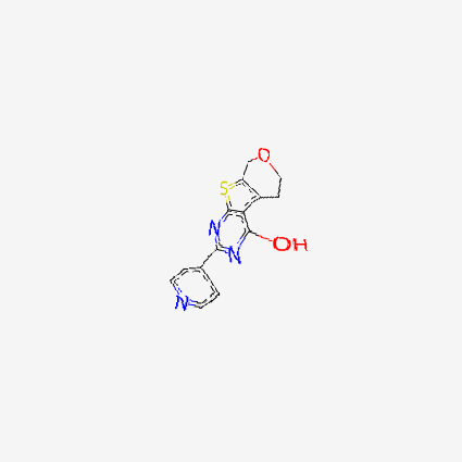 Oc1nc(-c2ccncc2)nc2sc3c(c12)CCOC3